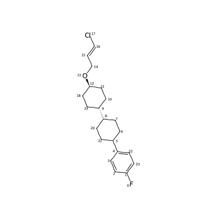 Fc1ccc(C2CCC([C@H]3CC[C@H](OC/C=C/Cl)CC3)CC2)cc1